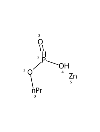 CCCO[PH](=O)O.[Zn]